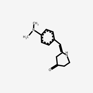 CN(C)c1ccc(C=C2CC(=O)CCN2)cc1